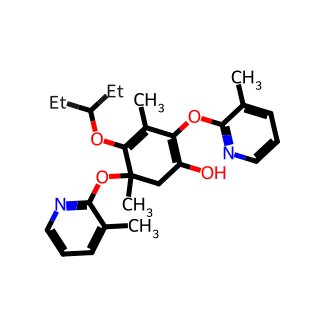 CCC(CC)OC1=C(C)C(Oc2ncccc2C)=C(O)CC1(C)Oc1ncccc1C